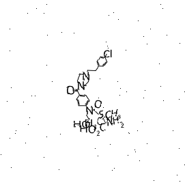 CC(C)(SCC(=O)N(CCO)c1ccc(C(=O)N2CCN(CCc3ccc(Cl)cc3)CC2)cc1)C(N)C(=O)O